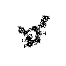 Cc1c(Cl)c2c(Cl)c(C)c1-c1c(-c3ccc(F)cc3)sc3ncnc(c13)O[C@@H](C(=O)O)Cc1cc(ccc1OCc1ccnc([C@@H]3CN4CCC[C@H]4CO3)n1)OC[C@@H](CN1CCN(C)CC1)O2